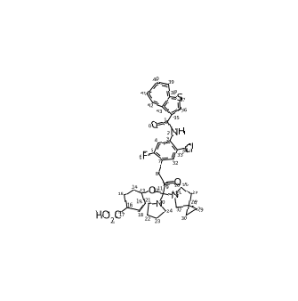 O=C(Nc1cc(F)c(CC(=O)C(OC2CCC(C(=O)O)CC2)(N2CCCC2)N2CCC3(CC3)C2)cc1Cl)c1csc2ccccc12